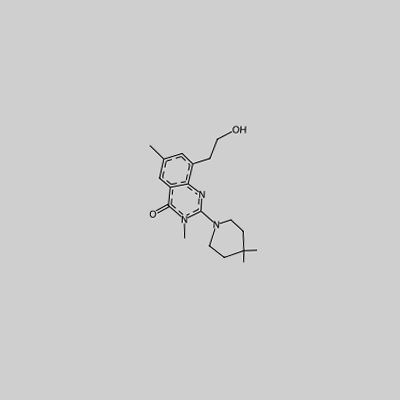 Cc1cc(CCO)c2nc(N3CCC(C)(C)CC3)n(C)c(=O)c2c1